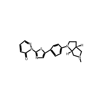 CN1C[C@H]2CCN(c3ccc(-c4cnc(-n5ncccc5=O)s4)cc3)[C@H]2C1